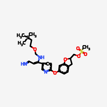 C[Si](C)(C)CCOCN/C(=C\C=N)c1ccc(Oc2ccc3c(c2)OC(COS(C)(=O)=O)C3)nc1